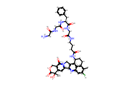 CCC1(O)C(=O)OCc2c1cc1n(c2=O)Cc2c-1nc1cc(F)c(C)c3c1c2C(NC(=O)CCCNC(=O)CNC(=O)[C@H](Cc1ccccc1)NC(=O)CNC(=O)CN)CC3